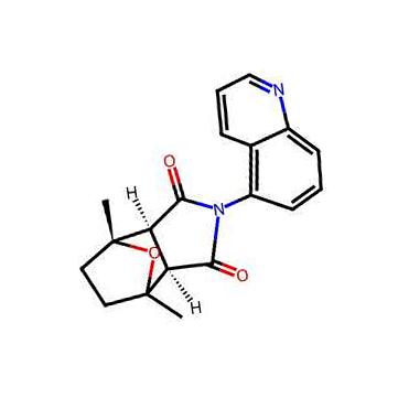 CC12CC[C@@](C)(O1)[C@H]1C(=O)N(c3cccc4ncccc34)C(=O)[C@H]12